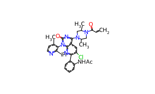 C=CC(=O)N1CC(C)N(c2nc(=O)n(-c3c(C)ccnc3C(C)C)c3nc(-c4ccccc4NC(C)=O)c(Cl)cc23)CC1C